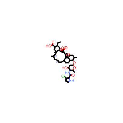 CCC1CC23OC(=O)C(=C2O)C(=O)C2(CC)C(C=CC4C(OC5CC(O)C(NC(=O)c6[nH]ccc6Cl)C(C)O5)C(C)CCC42)C/C=C/C/C(C)=C/C3(C)C=C1C(=O)O